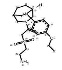 CCOc1ccc(N2CC3CC[C@H]2CN(C(=O)CS(=O)(=O)CCN)C3)cc1